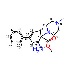 COC(=O)C1(N2CCN(C)CC2)CC=C(c2ccccc2C)C=C1N